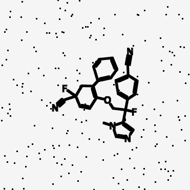 Cn1cncc1C(F)(COC1=C(c2ccccc2)CC(F)(C#N)C=C1)c1ccc(C#N)cc1